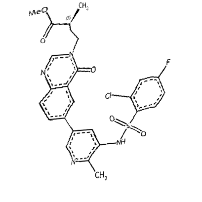 COC(=O)[C@@H](C)Cn1cnc2ccc(-c3cnc(C)c(NS(=O)(=O)c4ccc(F)cc4Cl)c3)cc2c1=O